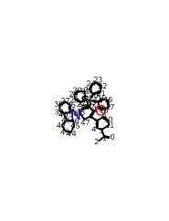 C=C(C)C1C=c2c3c(oc2=CC1)C([Si](c1ccccc1)(c1ccccc1)C1C=CC=CC1)=CC(N1c2ccccc2C2CCCCC21)C3